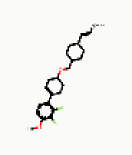 CCCCC/C=C/C1CCC(COC2CC=C(c3ccc(OCC)c(F)c3F)CC2)CC1